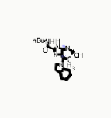 C#C/N=C1/NC(C(=O)NCCCC)=N/C1=C(/C)N1CCc2ccccc21